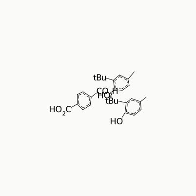 Cc1ccc(O)c(C(C)(C)C)c1.Cc1ccc(O)c(C(C)(C)C)c1.O=C(O)c1ccc(C(=O)O)cc1